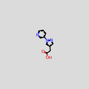 O=C(O)Cc1cnn(-c2cccnc2)c1